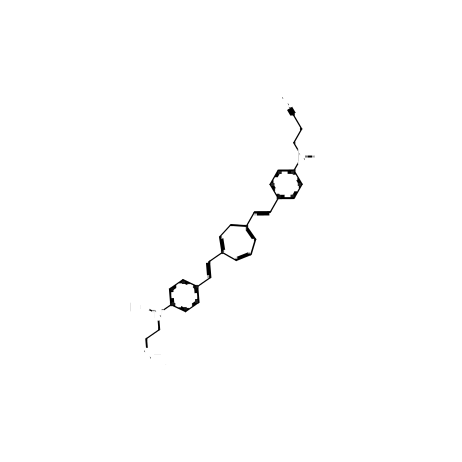 CN(CCN)c1ccc(/C=C/C2=CCC(/C=C/c3ccc(N(C)CCC#N)cc3)=CC=C2)cc1